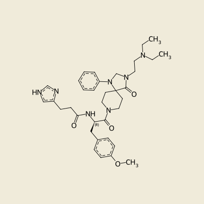 CCN(CC)CCN1CN(c2ccccc2)C2(CCN(C(=O)[C@@H](Cc3ccc(OC)cc3)NC(=O)CCc3c[nH]cn3)CC2)C1=O